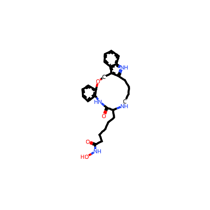 O=C(CCCCCC1NCCCCc2[nH]c3ccccc3c2COc2ccccc2NC1=O)NO